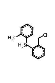 Cc1ccccc1[SiH2]c1ccccc1CCl